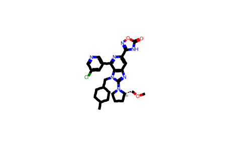 COC[C@@H]1CCCN1c1nc2cc(-c3noc(=O)[nH]3)nc(-c3cncc(Cl)c3)c2n1CC1CCC(C)CC1